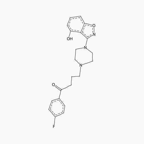 O=C(CCCN1CCN(c2noc3cccc(O)c23)CC1)c1ccc(F)cc1